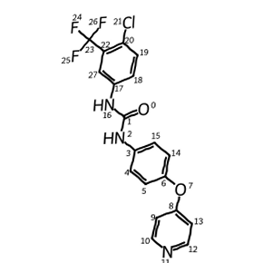 O=C(Nc1ccc(Oc2ccncc2)cc1)Nc1ccc(Cl)c(C(F)(F)F)c1